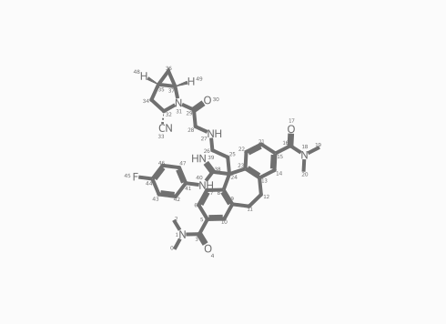 CN(C)C(=O)c1ccc2c(c1)CCc1cc(C(=O)N(C)C)ccc1C2(CCNCC(=O)N1[C@H](C#N)C[C@@H]2C[C@@H]21)C(=N)Nc1ccc(F)cc1